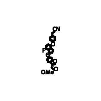 COC(=O)C[C@@H]1COc2cc(O[C@@H]3CCc4c(Oc5ccc(CCC#N)cc5)ccc(F)c43)ccc21